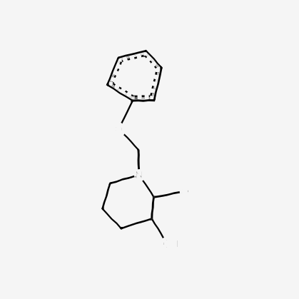 OC1CCCN(COc2ccccc2)C1O